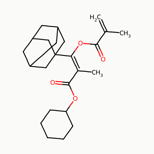 C=C(C)C(=O)OC(=C(C)C(=O)OC1CCCCC1)C12CC3CC(CC(C3)C1)C2